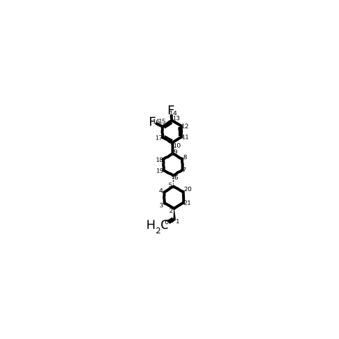 C=C[C@H]1CC[C@H](C2CCC(c3ccc(F)c(F)c3)CC2)CC1